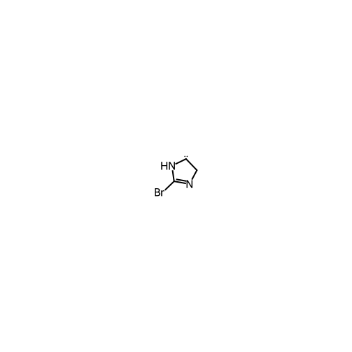 BrC1=NC[C]N1